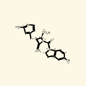 C=C1[C@H](Cc2ccnc(N)c2)[C@@H](C(=O)O)N1C(=O)N1CCc2cc(C#N)ccc21